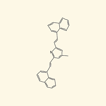 Cc1cc(C=Cc2cccc3ccccc23)nc(C=Cc2cccc3ccccc23)c1